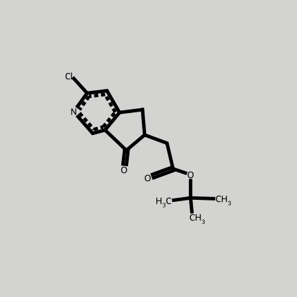 CC(C)(C)OC(=O)CC1Cc2cc(Cl)ncc2C1=O